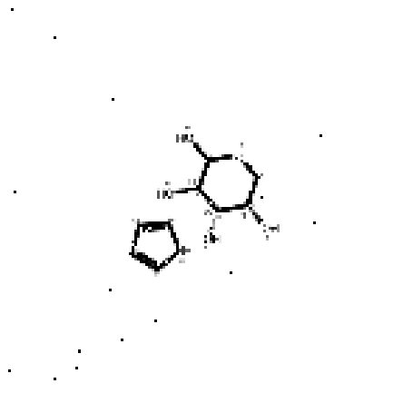 OC1OC[C@@H](O)[C@H](O)[C@H]1O.c1cc[nH]c1